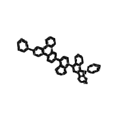 c1ccc(-c2ccc3c4ccc(-c5ccc(-c6cc7c8ccncc8n(-c8ccccc8)c7c7ccccc67)c6ccccc56)cc4c4ccccc4c3c2)cc1